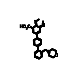 C/N=C1/C=C(c2ccc(-c3ccccc3CN3CCOCC3)cc2)C=C(C(=O)O)/C1=N/C